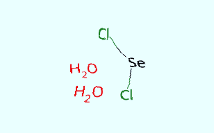 Cl[Se]Cl.O.O